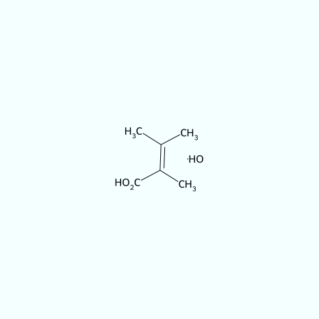 CC(C)=C(C)C(=O)O.[OH]